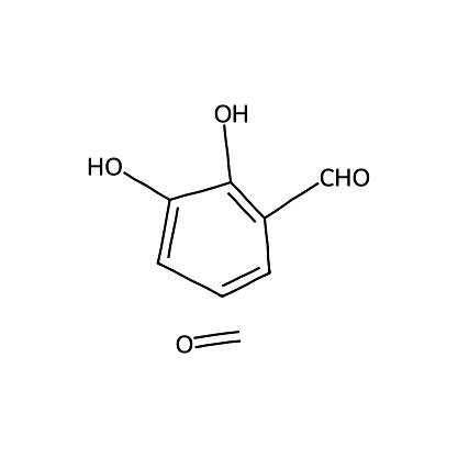 C=O.O=Cc1cccc(O)c1O